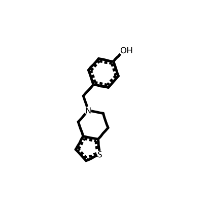 Oc1ccc(CN2CCc3sccc3C2)cc1